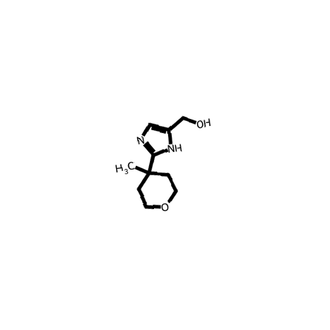 CC1(c2ncc(CO)[nH]2)CCOCC1